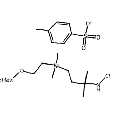 CCCCCCOCC[N+](C)(C)CCC(C)(C)NCl.Cc1ccc(S(=O)(=O)[O-])cc1